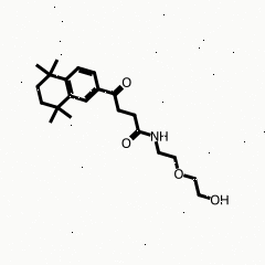 CC1(C)CCC(C)(C)c2cc(C(=O)CCC(=O)NCCOCCO)ccc21